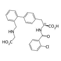 O=C(O)CNCc1ccccc1-c1ccc(C[C@H](NC(=O)c2ccccc2Cl)C(=O)O)cc1